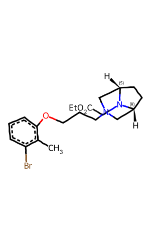 CCOC(=O)CN1[C@@H]2CC[C@H]1CN(CCCOc1cccc(Br)c1C)C2